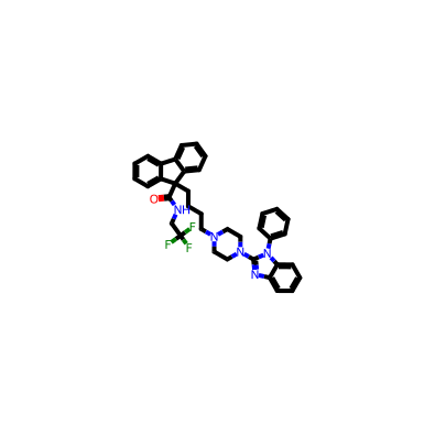 O=C(NCC(F)(F)F)C1(CCCCN2CCN(c3nc4ccccc4n3-c3ccccc3)CC2)c2ccccc2-c2ccccc21